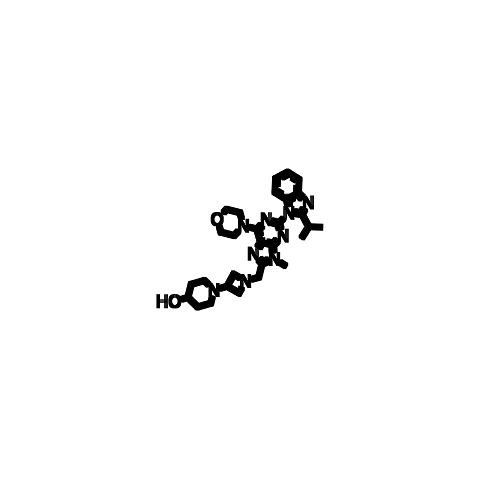 CC(C)c1nc2ccccc2n1-c1nc(N2CCOCC2)c2nc(CN3CC(N4CCC(O)CC4)C3)n(C)c2n1